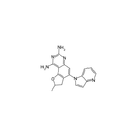 CC1Cc2c(-n3ccc4ncccc43)cc3nc(N)nc(N)c3c2O1